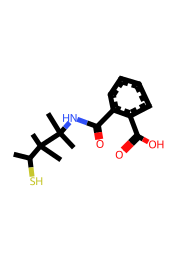 CC(S)C(C)(C)C(C)(C)NC(=O)c1ccccc1C(=O)O